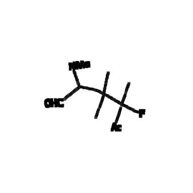 CNC(C=O)C(C)(C)C(C)(F)C(C)=O